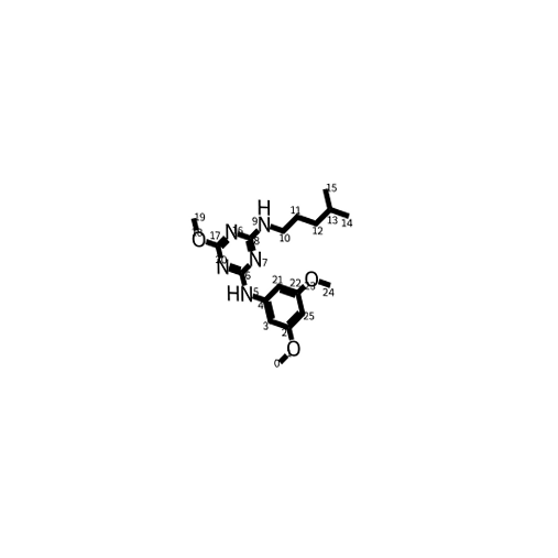 COc1cc(Nc2nc(NCCCC(C)C)nc(OC)n2)cc(OC)c1